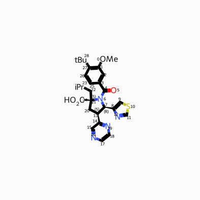 COc1cc(C(=O)N2[C@@H](c3cscn3)[C@@H](c3cnccn3)C[C@@]2(CC(C)C)C(=O)O)ccc1C(C)(C)C